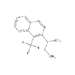 CSC(C)c1ncc2ccccc2c1C(F)(F)F